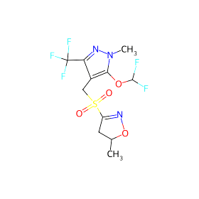 CC1CC(S(=O)(=O)Cc2c(C(F)(F)F)nn(C)c2OC(F)F)=NO1